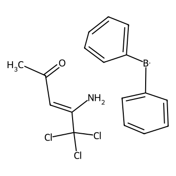 CC(=O)C=C(N)C(Cl)(Cl)Cl.[B](c1ccccc1)c1ccccc1